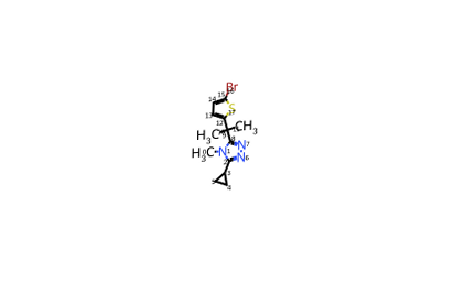 Cn1c(C2CC2)nnc1C(C)(C)c1ccc(Br)s1